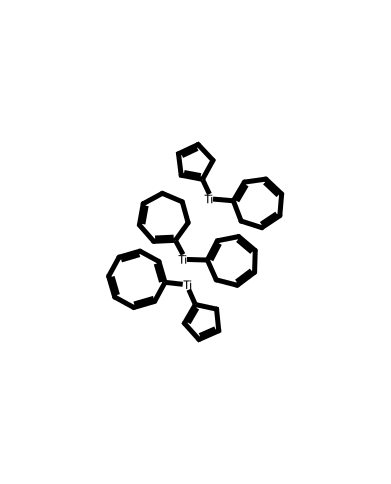 C1=CC=[C]([Ti][C]2=CC=CC2)CC=C1.C1=CC=[C]([Ti][C]2=CC=CCCC2)CC=C1.C1=CC[C]([Ti][C]2=C/C=C\C=C/C=C\2)=C1